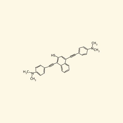 CN(C)c1ccc(C#Cc2cc(S)c(C#Cc3ccc(N(C)C)cc3)c3ccccc23)cc1